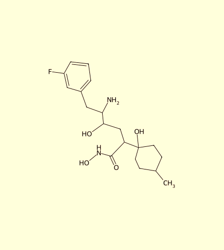 CC1CCC(O)(C(CC(O)C(N)Cc2cccc(F)c2)C(=O)NO)CC1